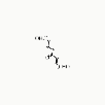 O=CC=CC(=O)CCCC=O